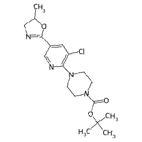 CC1CN=C(c2cnc(N3CCN(C(=O)OC(C)(C)C)CC3)c(Cl)c2)O1